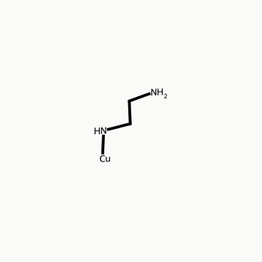 NCC[NH][Cu]